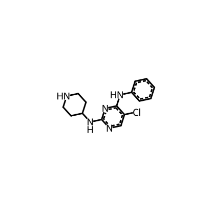 Clc1cnc(NC2CCNCC2)nc1Nc1ccccc1